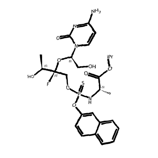 CC(C)OC(=O)[C@H](C)NP(=S)(OC[C@@](F)(O[C@H](CO)n1ccc(N)nc1=O)[C@H](C)O)Oc1ccc2ccccc2c1